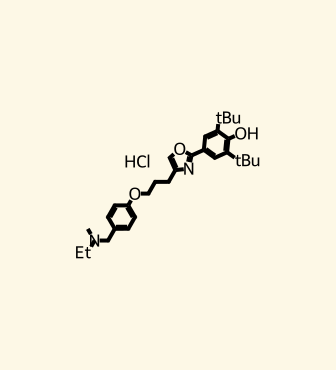 CCN(C)Cc1ccc(OCCCc2coc(-c3cc(C(C)(C)C)c(O)c(C(C)(C)C)c3)n2)cc1.Cl